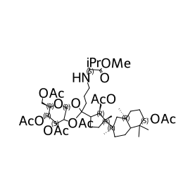 COC(=O)[C@@H](NCCCC(C)(O[C@H]1O[C@H](COC(C)=O)[C@@H](OC(C)=O)[C@H](OC(C)=O)C1OC(C)=O)C1CC[C@@](C)([C@]2(C)CCC3C(C)(C)[C@@H](OC(C)=O)CC[C@]3(C)C2)[C@@H]1COC(C)=O)C(C)C